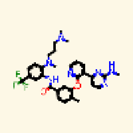 CNc1nccc(-c2cccnc2Oc2cc(C(=O)Nc3cc(C(F)(F)F)ccc3N(C)CCCN(C)C)ccc2C)n1